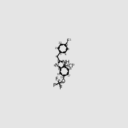 Cl.Fc1ccc(Cc2nc3cc(OC(F)(F)F)ccc3[nH]2)cc1